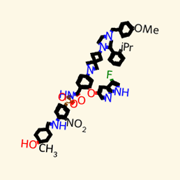 COc1ccc(CN2CCN(C3CC4(C3)CN(c3ccc(C(=O)NS(=O)(=O)c5ccc(NCC6CCC(C)(O)CC6)c([N+](=O)[O-])c5)c(Oc5cnc6[nH]cc(F)c6c5)c3)C4)C(c3ccccc3C(C)C)C2)cc1